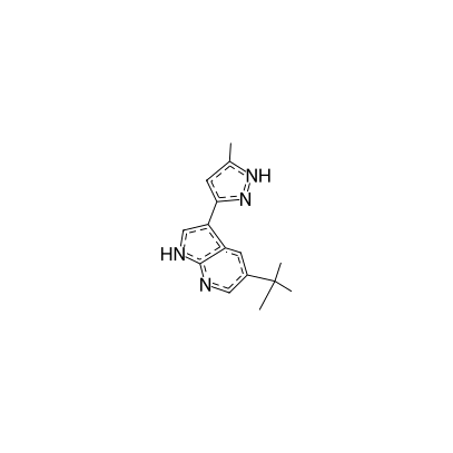 Cc1cc(-c2c[nH]c3ncc(C(C)(C)C)cc23)n[nH]1